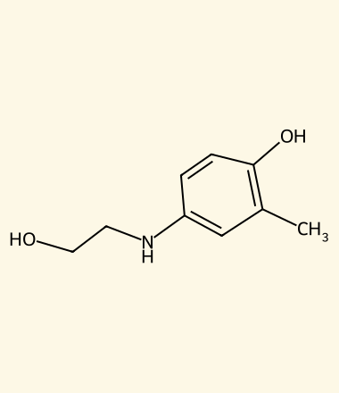 Cc1cc(NCCO)ccc1O